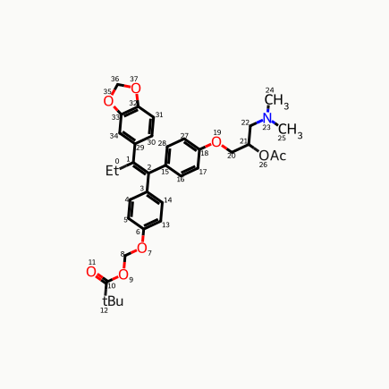 CCC(=C(c1ccc(OCOC(=O)C(C)(C)C)cc1)c1ccc(OCC(CN(C)C)OC(C)=O)cc1)c1ccc2c(c1)OCO2